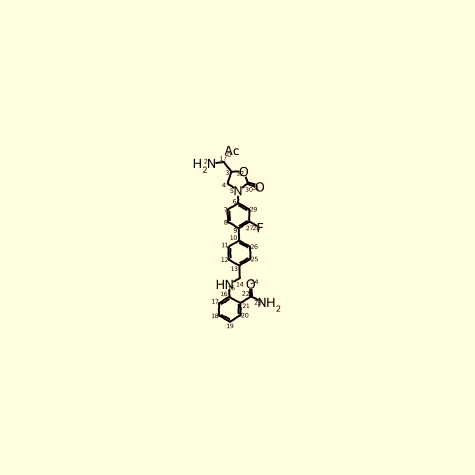 CC(=O)[C@@H](N)C1CN(c2ccc(-c3ccc(CNc4ccccc4C(N)=O)cc3)c(F)c2)C(=O)O1